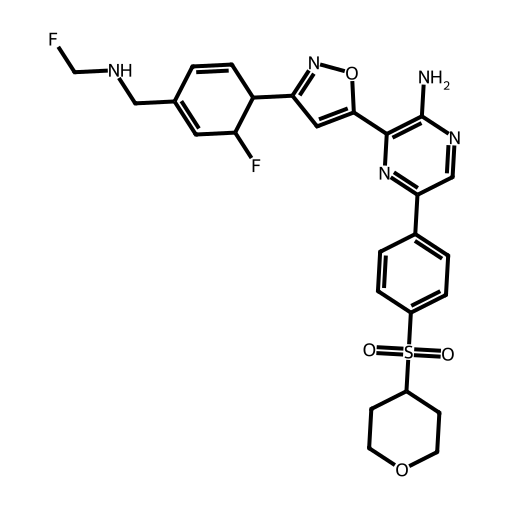 Nc1ncc(-c2ccc(S(=O)(=O)C3CCOCC3)cc2)nc1-c1cc(C2C=CC(CNCF)=CC2F)no1